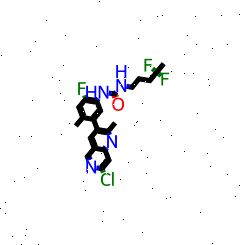 Cc1cc(F)c(NC(=O)NCCCC(C)(F)F)cc1-c1cc2cnc(Cl)cc2nc1C